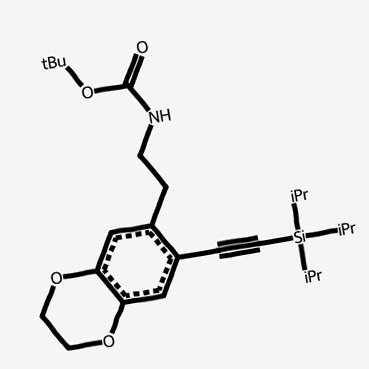 CC(C)[Si](C#Cc1cc2c(cc1CCNC(=O)OC(C)(C)C)OCCO2)(C(C)C)C(C)C